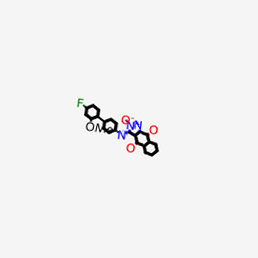 COc1cc(F)ccc1-c1ccc(/N=c2/c3c(=O)c4ccccc4c(=O)c=3n[n+]2[O-])cc1